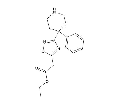 CCOC(=O)Cc1nc(C2(c3ccccc3)CCNCC2)no1